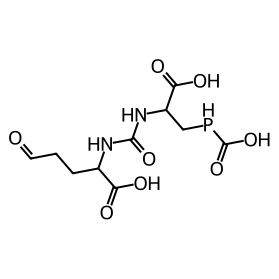 O=CCCC(NC(=O)NC(CPC(=O)O)C(=O)O)C(=O)O